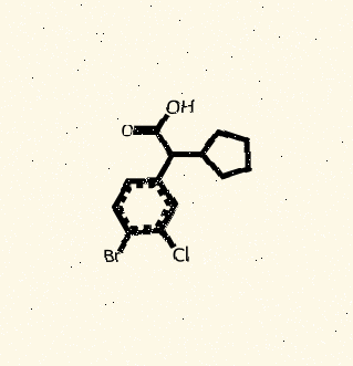 O=C(O)C(c1ccc(Br)c(Cl)c1)C1CCCC1